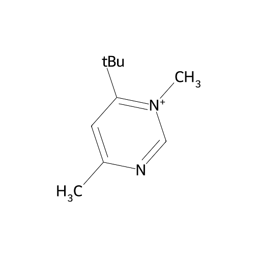 Cc1cc(C(C)(C)C)[n+](C)cn1